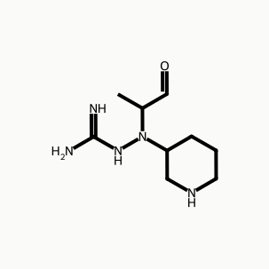 CC(C=O)N(NC(=N)N)C1CCCNC1